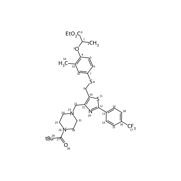 CCOC(=O)C(C)Oc1ccc(SCc2sc(-c3ccc(C(F)(F)F)cc3)nc2CN2CCN(C(=O)C(C)(C)C)CC2)cc1C